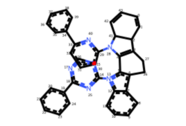 C1=CC2C3=C(c4c(c5ccccc5n4-c4ncnc(-c5ccccc5)n4)CC3)N(c3cccc(-c4ccccc4)n3)C2C=C1